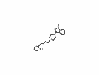 c1ccc2c(N3CCN(CCCCC4NCCS4)CC3)n[nH]c2c1